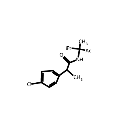 CC(=O)C(C)(NC(=O)C(C)c1ccc(Cl)cc1)C(C)C